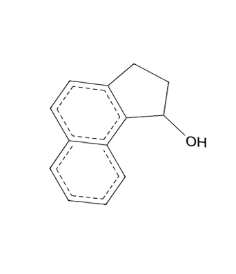 OC1CCc2ccc3ccccc3c21